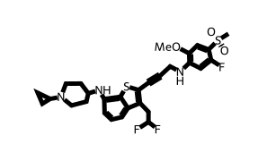 COc1cc(S(C)(=O)=O)c(F)cc1NCC#Cc1sc2c(NC3CCN(C4CC4)CC3)cccc2c1CC(F)F